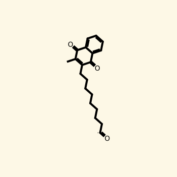 CC1=C(CCCCCCCC[C]=O)C(=O)c2ccccc2C1=O